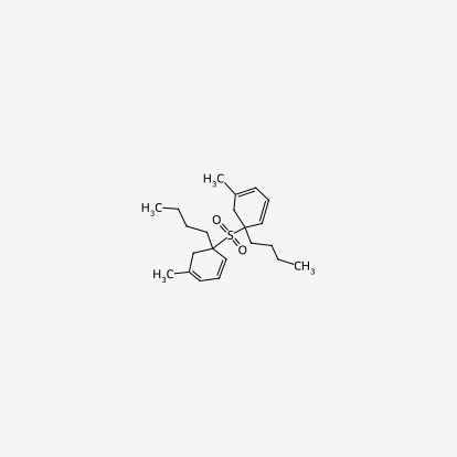 CCCCC1(S(=O)(=O)C2(CCCC)C=CC=C(C)C2)C=CC=C(C)C1